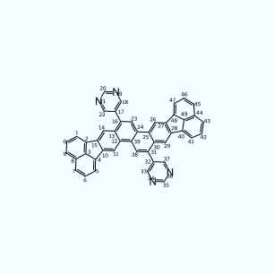 c1cc2c3c(cccc3c1)-c1cc3c(cc1-2)c(-c1cncnc1)cc1c2cc4c(cc2c(-c2cncnc2)cc31)-c1cccc2cccc-4c12